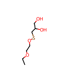 CCOCCOSCC(O)CO